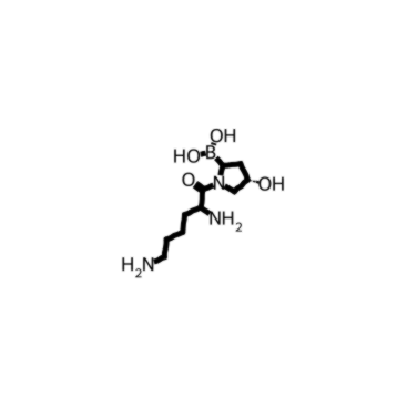 NCCCCC(N)C(=O)N1C[C@@H](O)CC1B(O)O